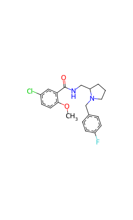 COc1ccc(Cl)cc1C(=O)NCC1CCCN1Cc1ccc(F)cc1